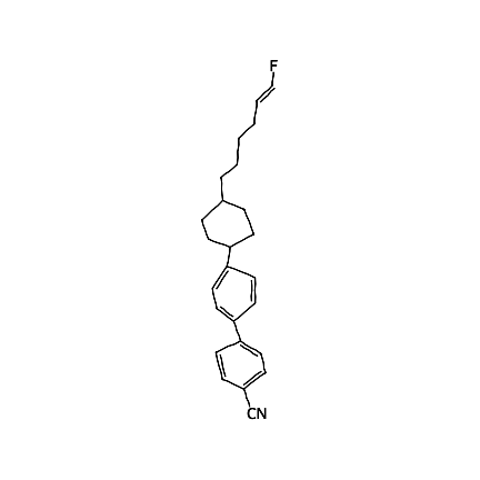 N#Cc1ccc(-c2ccc(C3CCC(CCCCC=CF)CC3)cc2)cc1